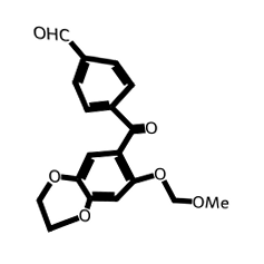 COCOc1cc2c(cc1C(=O)c1ccc(C=O)cc1)OCCO2